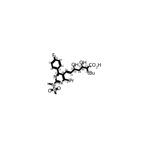 CC(C)c1nc(N(C)S(C)(=O)=O)nc(-c2ccc(F)cc2)c1C=C[C@@H](O)C[C@@H](O)C(C(=O)O)C(C)(C)C